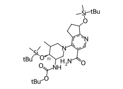 CC1CN(c2c(C(N)=O)cnc3c2CCC3O[Si](C)(C)C(C)(C)C)CC(NC(=O)OC(C)(C)C)[C@H]1O[Si](C)(C)C(C)(C)C